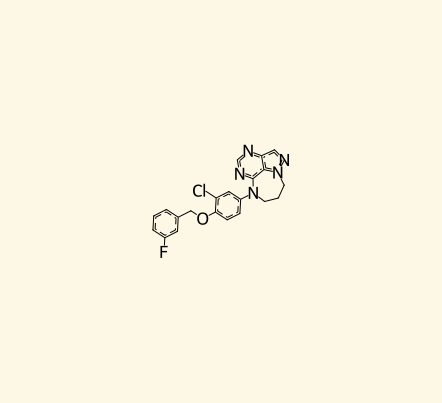 Fc1cccc(COc2ccc(N3CCCn4ncc5ncnc3c54)cc2Cl)c1